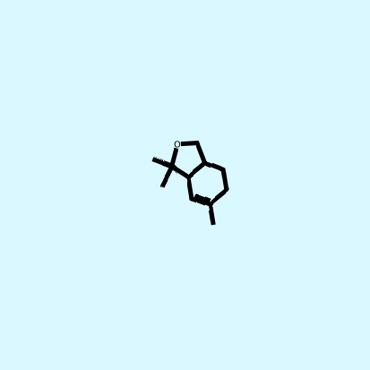 CC1=CC2C(CC1)COC2(C)C